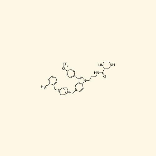 Cc1ccccc1CN1CC2CC1CN2Cc1ccc2c(c1)c(-c1ccc(OC(F)(F)F)cc1)cn2CCCNC(=O)C1CNCCN1